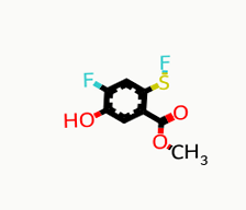 COC(=O)c1cc(O)c(F)cc1SF